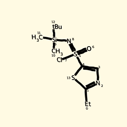 CCc1ncc(S(=O)(Cl)=N[Si](C)(C)C(C)(C)C)s1